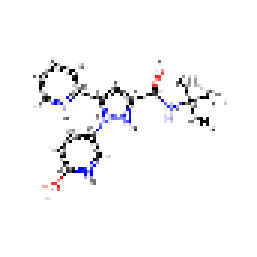 CC(C)(C)NC(=O)c1cc(-c2ccccn2)n(-c2ccc(O)nc2)n1